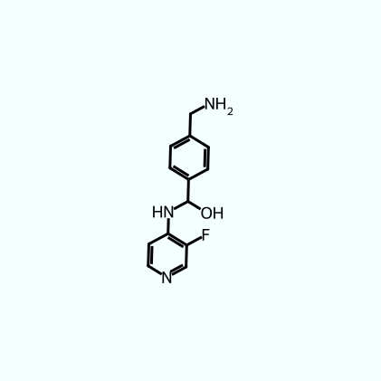 NCc1ccc(C(O)Nc2ccncc2F)cc1